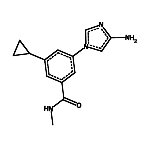 CNC(=O)c1cc(C2CC2)cc(-n2cnc(N)c2)c1